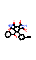 C#Cc1cccc(-c2c(C(=O)c3ccccc3)c3c(=O)[nH]c(=O)c3c3c(=O)[nH]c(=O)c23)c1